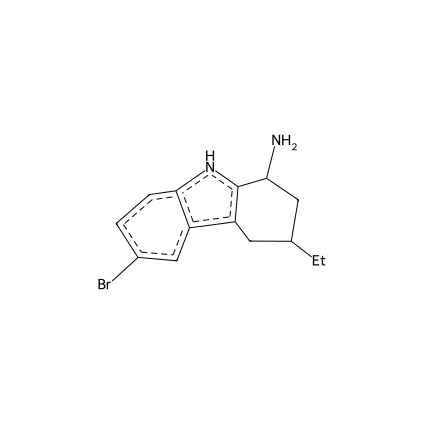 CCC1Cc2c([nH]c3ccc(Br)cc23)C(N)C1